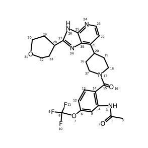 CC(=O)Nc1cc(OC(F)(F)F)ccc1C(=O)N1CCC(c2ccnc3[nH]c(C4CCOCC4)nc23)CC1